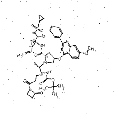 C=C[C@@H]1C[C@]1(NC(=O)[C@@H]1CC(Oc2cc(-c3ccccc3)nc3cc(OC)ccc23)CN1C(=O)[C@H](CCC(=O)N1CCC1=O)NC(=O)OC(C)(C)C)C(=O)NS(=O)(=O)C1CC1